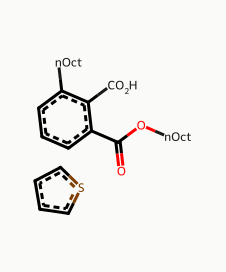 CCCCCCCCOC(=O)c1cccc(CCCCCCCC)c1C(=O)O.c1ccsc1